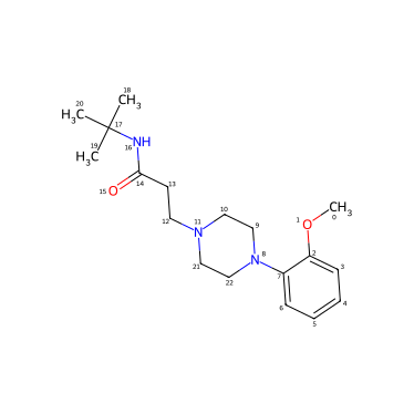 COc1ccccc1N1CCN(CCC(=O)NC(C)(C)C)CC1